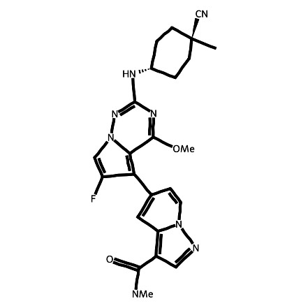 CNC(=O)c1cnn2ccc(-c3c(F)cn4nc(N[C@H]5CC[C@](C)(C#N)CC5)nc(OC)c34)cc12